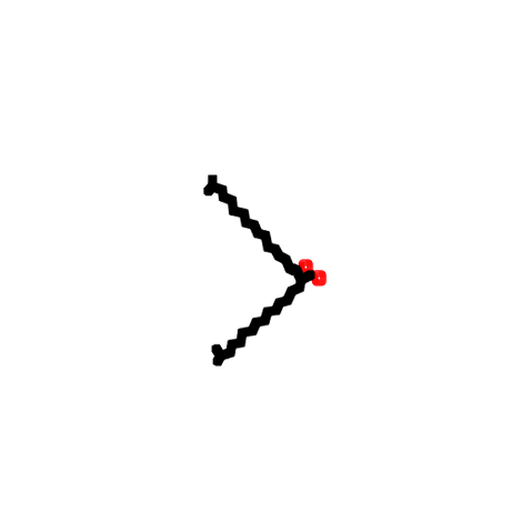 CC(C)CCCCCCCCCCCCCC=C1OC(=O)C1CCCCCCCCCCCCCC(C)C